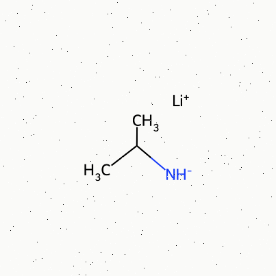 CC(C)[NH-].[Li+]